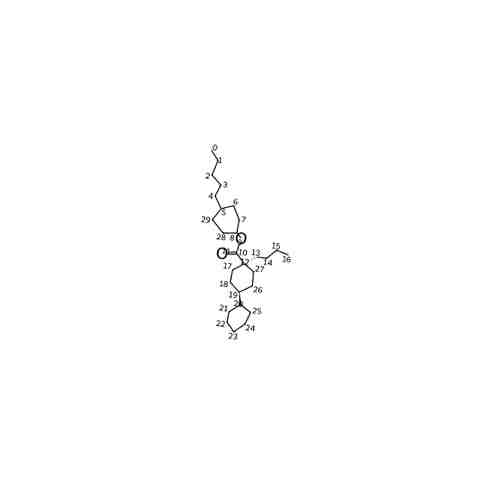 CCCCCC1CCC(OC(=O)[C@]2(CCCC)CC[C@H](C3CCCCC3)CC2)CC1